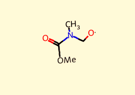 COC(=O)N(C)C[O]